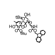 CC1=CN(CC(=O)N(CC(O)OC(C)(C)C)OCNC(=O)OCC2c3ccccc3-c3ccccc32)C(=O)N(C(=O)OC(C)(C)C)C1O